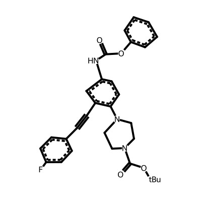 CC(C)(C)OC(=O)N1CCN(c2ccc(NC(=O)Oc3ccccc3)cc2C#Cc2ccc(F)cc2)CC1